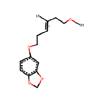 CC/C(=C\CCOc1ccc2c(c1)OCO2)CCOC(C)C